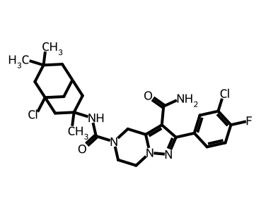 CC1(C)CC2CC(Cl)(C1)CC(C)(NC(=O)N1CCn3nc(-c4ccc(F)c(Cl)c4)c(C(N)=O)c3C1)C2